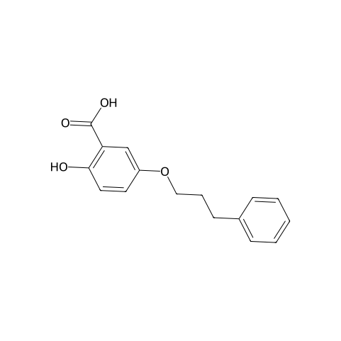 O=C(O)c1cc(OCCCc2ccccc2)ccc1O